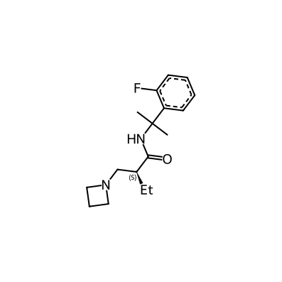 CC[C@@H](CN1CCC1)C(=O)NC(C)(C)c1ccccc1F